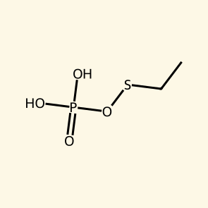 CCSOP(=O)(O)O